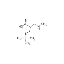 CNCC(CSC(C)(C)C)C(=O)O